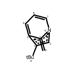 C=c1c2c(C(C)(C)C)cn1C=CC=2